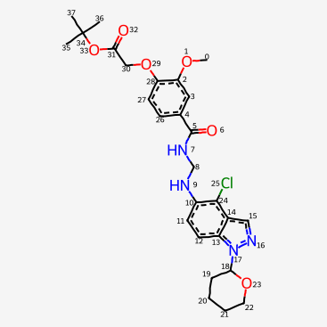 COc1cc(C(=O)NCNc2ccc3c(cnn3C3CCCCO3)c2Cl)ccc1OCC(=O)OC(C)(C)C